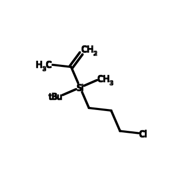 C=C(C)[Si](C)(CCCCl)C(C)(C)C